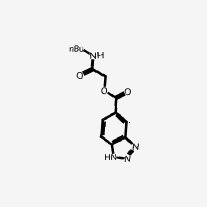 CCCCNC(=O)COC(=O)c1[c]c2nn[nH]c2cc1